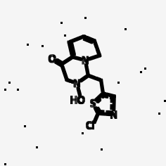 O=C1CN(O)C(Cc2cnc(Cl)s2)N2CC=CC=C12